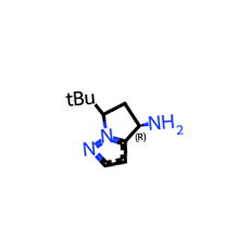 CC(C)(C)C1C[C@@H](N)c2ccnn21